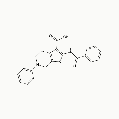 O=C(Nc1sc2c(c1C(=O)O)CCN(c1ccccc1)C2)c1ccccc1